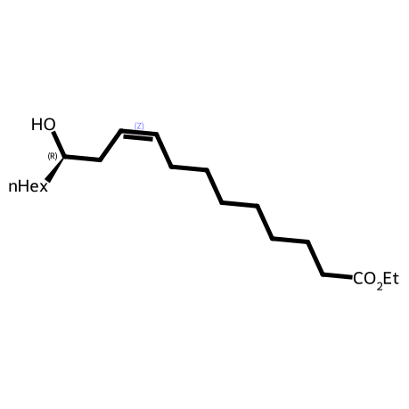 CCCCCC[C@@H](O)C/C=C\CCCCCCCC(=O)OCC